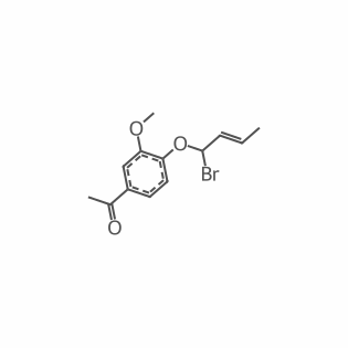 C/C=C/C(Br)Oc1ccc(C(C)=O)cc1OC